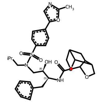 Cc1ncc(-c2ccc(S(=O)(=O)N(CC(C)C)C[C@@H](O)[C@H](Cc3ccccc3)NC(=O)OC3C4COC5OCC3C5C4)cc2)o1